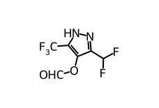 O=COc1c(C(F)F)n[nH]c1C(F)(F)F